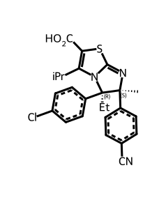 CC[C@]1(c2ccc(Cl)cc2)N2C(=N[C@@]1(C)c1ccc(C#N)cc1)SC(C(=O)O)=C2C(C)C